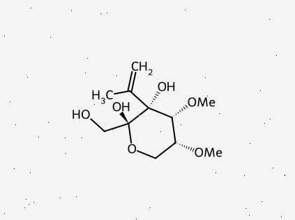 C=C(C)[C@@]1(O)[C@H](OC)[C@H](OC)CO[C@]1(O)CO